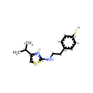 CC(C)c1csc(NCCc2ccc(F)cc2)n1